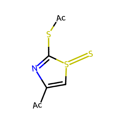 CC(=O)SC1=NC(C(C)=O)=CS1=S